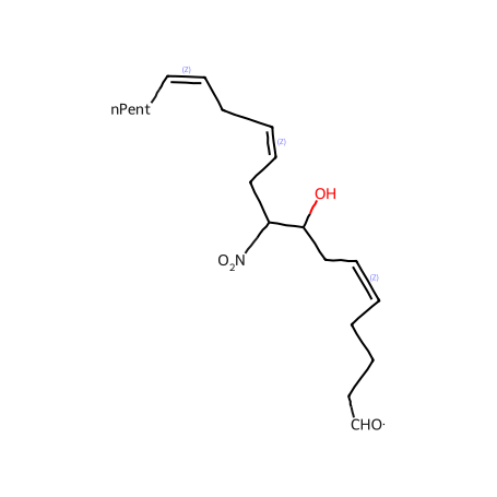 CCCCC/C=C\C/C=C\CC(C(O)C/C=C\CCC[C]=O)[N+](=O)[O-]